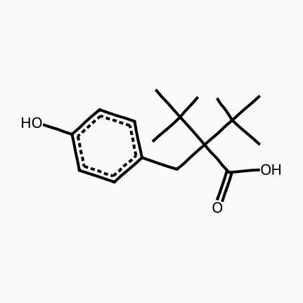 CC(C)(C)C(Cc1ccc(O)cc1)(C(=O)O)C(C)(C)C